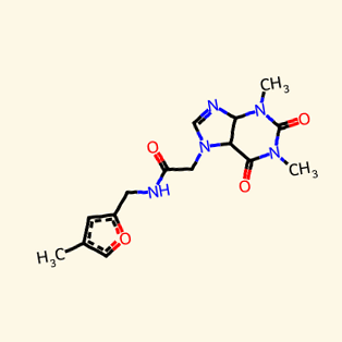 Cc1coc(CNC(=O)CN2C=NC3C2C(=O)N(C)C(=O)N3C)c1